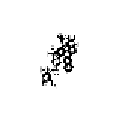 CN1CCC(NC(=O)N2CCN(c3ccc(N4CC(=O)Nc5cnc6ccc(-c7ccc8ccccc8c7)cc6c54)cc3C(F)(F)F)CC2)CC1